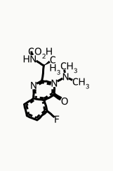 C[C@H](NC(=O)O)c1nc2cccc(F)c2c(=O)n1N(C)C